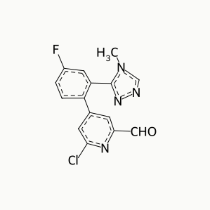 Cn1cnnc1-c1cc(F)ccc1-c1cc(Cl)nc(C=O)c1